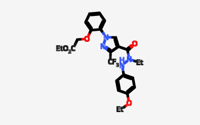 CCOC(=O)COc1ccccc1-n1cc(C(=O)N(CC)Nc2ccc(OCC)cc2)c(C(F)(F)F)n1